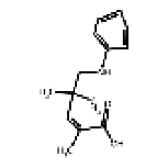 CC(=CC(C)(C)CNc1ccccc1)C(=O)O